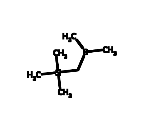 CB(C)C[Si](C)(C)C